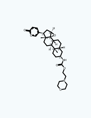 C[C@]12CC[C@H](NC(=O)OCCN3CCOCC3)C[C@H]1CC[C@@H]1[C@@H]2CC[C@]2(C)[C@@H](c3ccc(=O)oc3)C[C@H]3O[C@]132